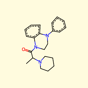 CC(C(=O)N1CCN(c2ccccc2)c2ccccc21)N1CCCCC1